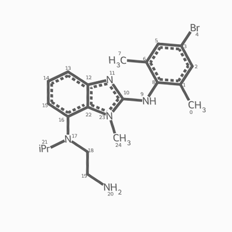 Cc1cc(Br)cc(C)c1Nc1nc2cccc(N(CCN)C(C)C)c2n1C